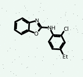 [CH2]Cc1ccc(Nc2nc3ccccc3o2)c(Cl)c1